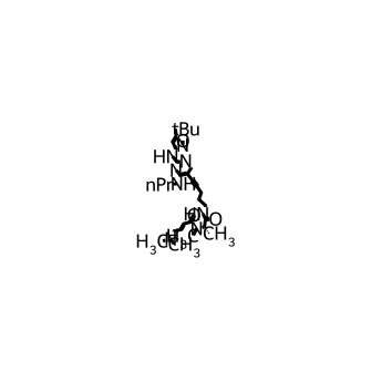 CCCNc1nc(Nc2cc(C(C)(C)C)on2)ncc1C#CCCCNC(=O)[C@H](C)N(C)C(=O)/C=C/CN(C)C